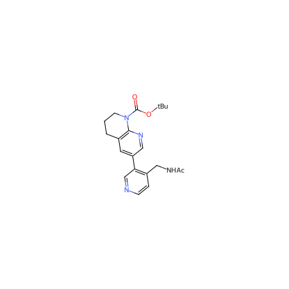 CC(=O)NCc1ccncc1-c1cnc2c(c1)CCCN2C(=O)OC(C)(C)C